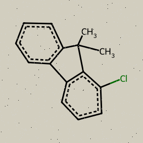 CC1(C)c2ccccc2-c2cccc(Cl)c21